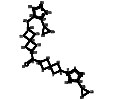 O=C(N1CC2(CC(n3cnc(C4CC4)n3)C2)C1)N1CC2(CN(Cc3snnc3C3CC3)C2)C1